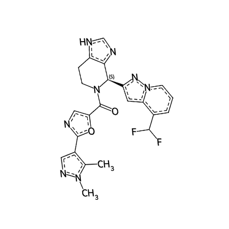 Cc1c(-c2ncc(C(=O)N3CCc4[nH]cnc4[C@H]3c3cc4c(C(F)F)cccn4n3)o2)cnn1C